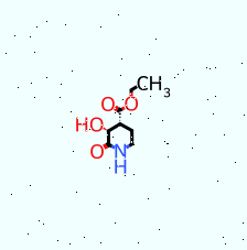 CCOC(=O)[C@@H]1CCNC(=O)[C@@H]1O